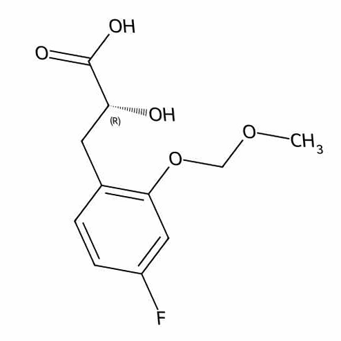 COCOc1cc(F)ccc1C[C@@H](O)C(=O)O